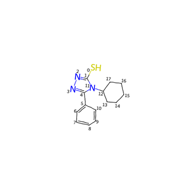 Sc1nnc(-c2ccccc2)n1C1CCCCC1